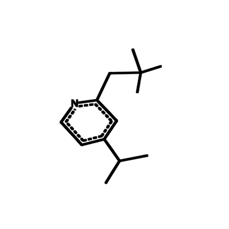 CC(C)c1ccnc(CC(C)(C)C)c1